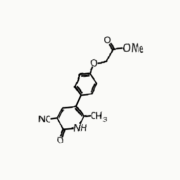 COC(=O)COc1ccc(-c2cc(C#N)c(=O)[nH]c2C)cc1